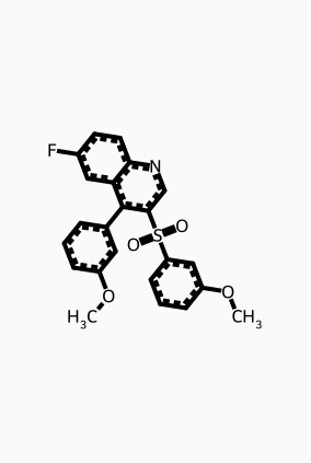 COc1cccc(-c2c(S(=O)(=O)c3cccc(OC)c3)cnc3ccc(F)cc23)c1